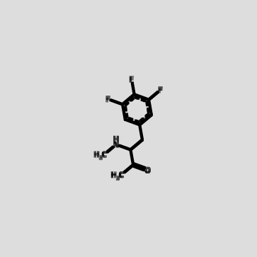 CNC(Cc1cc(F)c(F)c(F)c1)C(C)=O